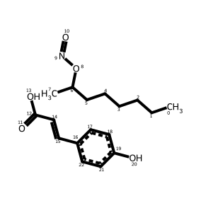 CCCCCCC(C)ON=O.O=C(O)C=Cc1ccc(O)cc1